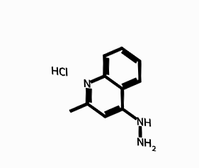 Cc1cc(NN)c2ccccc2n1.Cl